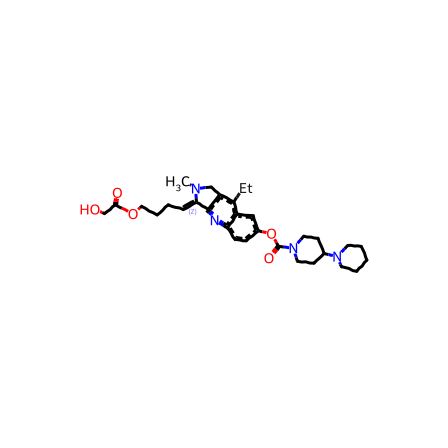 CCc1c2c(nc3ccc(OC(=O)N4CCC(N5CCCCC5)CC4)cc13)/C(=C/CCCOC(=O)CO)N(C)C2